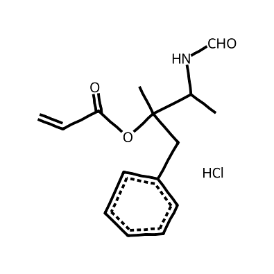 C=CC(=O)OC(C)(Cc1ccccc1)C(C)NC=O.Cl